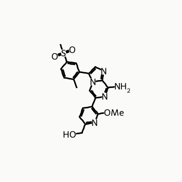 COc1nc(CO)ccc1-c1cn2c(-c3cc(S(C)(=O)=O)ccc3C)cnc2c(N)n1